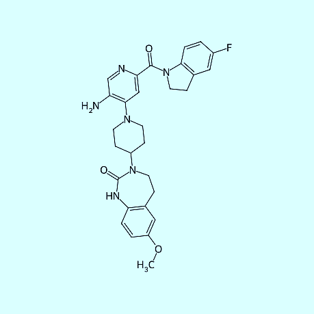 COc1ccc2c(c1)CCN(C1CCN(c3cc(C(=O)N4CCc5cc(F)ccc54)ncc3N)CC1)C(=O)N2